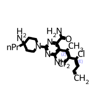 C=C/C=C(Cl)\C(Cl)=C(/C)c1c(N)nc(N2CCC(N)(CCC)CC2)nc1C(N)=O